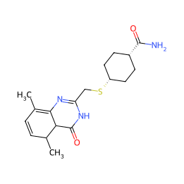 CC1=C2N=C(CS[C@H]3CC[C@@H](C(N)=O)CC3)NC(=O)C2C(C)C=C1